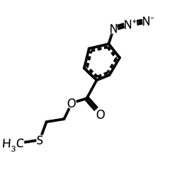 CSCCOC(=O)c1ccc(N=[N+]=[N-])cc1